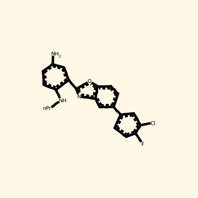 CCCNc1ccc(N)cc1-c1nc2cc(-c3ccc(F)c(Cl)c3)ccc2o1